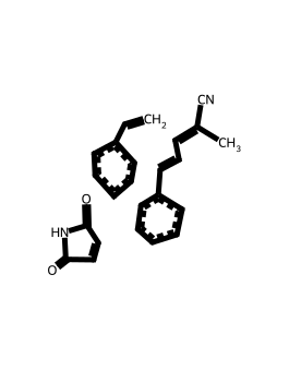 C=Cc1ccccc1.CC(C#N)=CC=Cc1ccccc1.O=C1C=CC(=O)N1